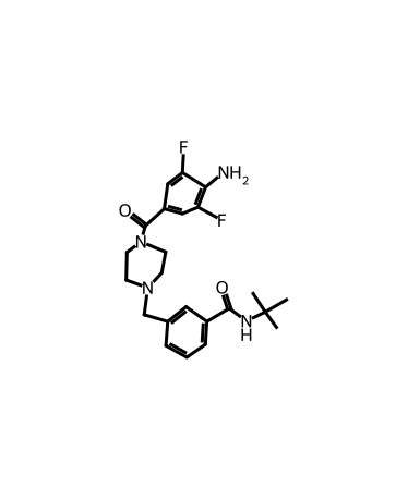 CC(C)(C)NC(=O)c1cccc(CN2CCN(C(=O)c3cc(F)c(N)c(F)c3)CC2)c1